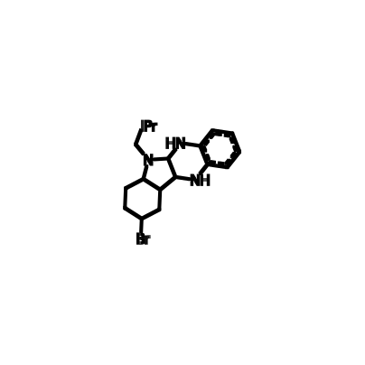 CC(C)CN1C2CCC(Br)CC2C2Nc3ccccc3NC21